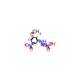 COc1cc(NN)cc([N+](=O)[O-])c1.O=[N+]([O-])O